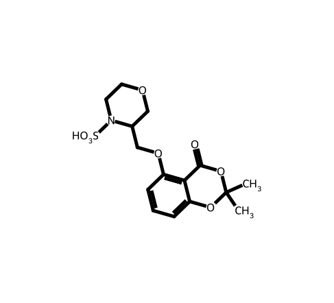 CC1(C)OC(=O)c2c(OCC3COCCN3S(=O)(=O)O)cccc2O1